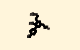 CCCCCCCCCCCCc1cc(CN)cc(-c2ccc(Cl)cc2)c1O